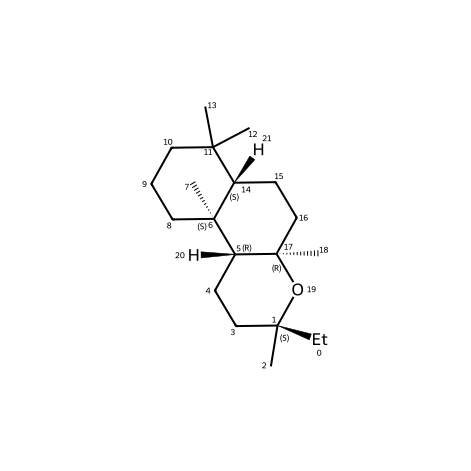 CC[C@@]1(C)CC[C@@H]2[C@@]3(C)CCCC(C)(C)[C@@H]3CC[C@@]2(C)O1